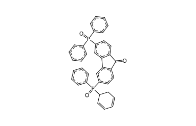 O=C1c2ccc(P(=O)(c3ccccc3)c3ccccc3)cc2-c2cc(P(=O)(c3ccccc3)C3C=CC=CC3)ccc21